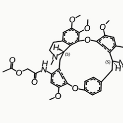 COc1cc(NC(=O)COC(C)=O)c2cc1Oc1ccc(cc1)C[C@H]1c3cc(c(OC)cc3CCN1C)Oc1c(OC)c(OC)cc3c1[C@H](C2)N(C)CC3